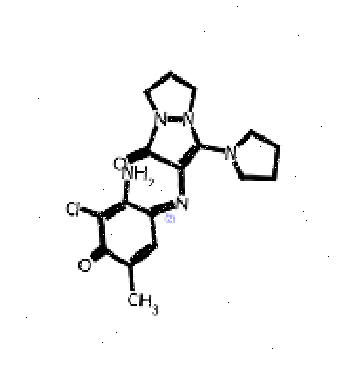 CC1=C/C(=N/c2c(N3CCCC3)n3n(c2=O)CCC3)C(N)=C(Cl)C1=O